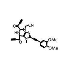 C#CC(=O)C1NC(C(=O)C#C)N(CC#N)c2nc(C#Cc3ccc(OC)c(OC)c3)n(C)c21